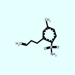 C=CCCc1cc(C)ccc1S(N)(=O)=O